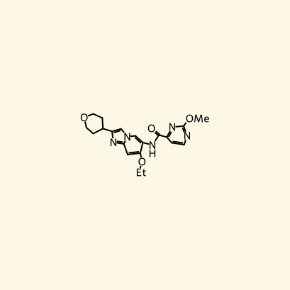 CCOc1cc2nc(C3CCOCC3)cn2cc1NC(=O)c1ccnc(OC)n1